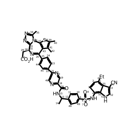 CCc1ccc(NS(=O)(=O)c2ccc(C(C)NC(=O)c3cnc(-c4ccc(C5=N[C@@H](CC(=O)O)c6nnc(C)n6-c6sc(C)c(C)c65)cc4)cn3)cc2)c2[nH]cc(C#N)c12